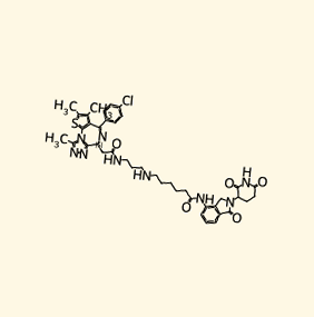 Cc1sc2c(c1C)C(c1ccc(Cl)cc1)=N[C@@H](CC(=O)NCCCNCCCCCC(=O)Nc1cccc3c1CN(C1CCC(=O)NC1=O)C3=O)c1nnc(C)n1-2